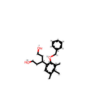 Cc1cc(C(CCO)CCO)c(OCc2ccccc2)c(C)c1C